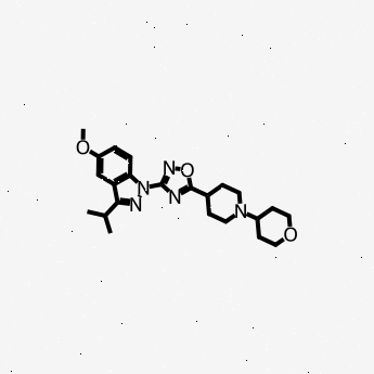 COc1ccc2c(c1)c(C(C)C)nn2-c1noc(C2CCN(C3CCOCC3)CC2)n1